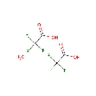 O.O=C(O)C(F)(F)F.O=C(O)C(F)(F)F